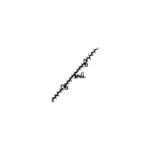 CCCCCC/C=C/COC(=O)CCCCCCCC(CCCCCCCC(=O)OC/C=C/CCCCCC)N(C)CCN(C)C